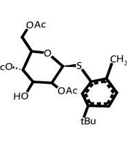 CC(=O)OCC1O[C@@H](Sc2cc(C(C)(C)C)ccc2C)C(OC(C)=O)C(O)[C@@H]1OC(C)=O